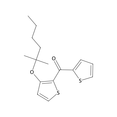 CCCCC(C)(C)Oc1ccsc1C(=O)c1cccs1